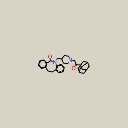 O=C1c2ccccc2CCc2ccccc2N1CC1CCN(CC(=O)C23CC4CC(CC(C4)C2)C3)CC1